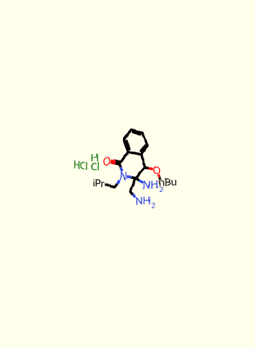 CCCCOC1c2ccccc2C(=O)N(CC(C)C)C1(N)CN.Cl.Cl